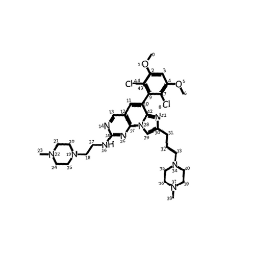 COc1cc(OC)c(Cl)c(-c2cc3cnc(NCCN4CCN(C)CC4)nc3n3cc(CCCN4CCN(C)CC4)nc23)c1Cl